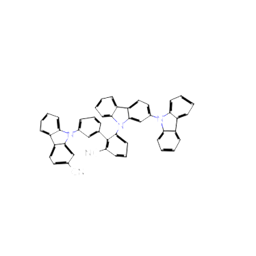 N#Cc1ccc2c3ccccc3n(-c3cccc(-c4c(C#N)cccc4-n4c5ccccc5c5ccc(-n6c7ccccc7c7ccccc76)cc54)c3)c2c1